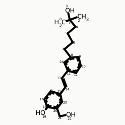 CC(C)(O)CCCCc1cccc(/C=C/c2ccc(O)c(CO)c2)c1